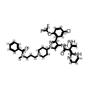 C=C(N)/C(C(=O)Nc1cn(C2CCN(CCCN(C)C(=O)c3ccccc3)CC2)nc1-c1cc(Cl)ccc1OC(F)F)=C1/N=CC=CN1